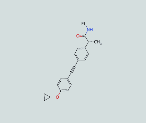 CCNC(=O)C(C)c1ccc(C#Cc2ccc(OC3CC3)cc2)cc1